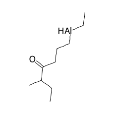 C[CH2][AlH][CH2]CCC(=O)C(C)CC